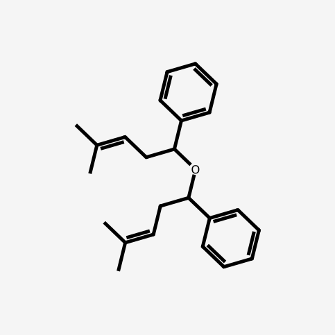 CC(C)=CCC(OC(CC=C(C)C)c1ccccc1)c1ccccc1